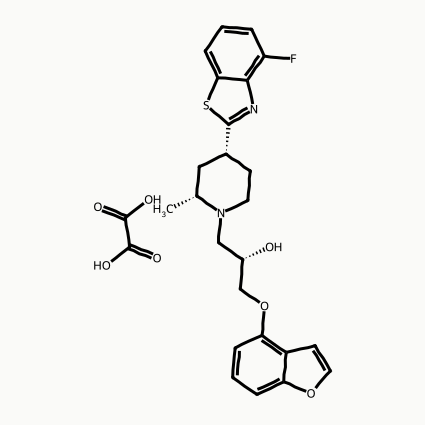 C[C@@H]1C[C@H](c2nc3c(F)cccc3s2)CCN1C[C@H](O)COc1cccc2occc12.O=C(O)C(=O)O